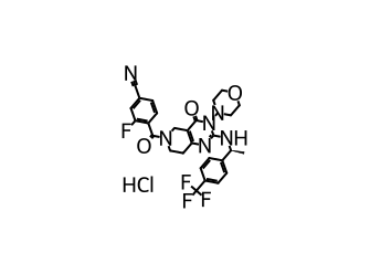 C[C@H](Nc1nc2c(c(=O)n1N1CCOCC1)CN(C(=O)c1ccc(C#N)cc1F)CC2)c1ccc(C(F)(F)F)cc1.Cl